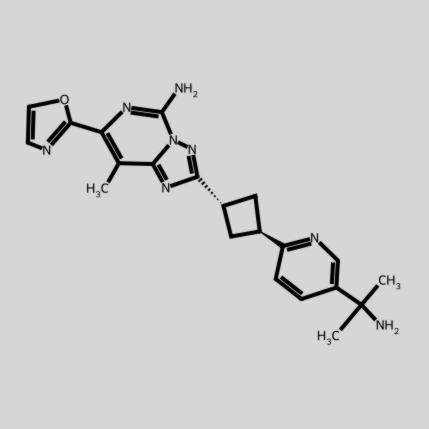 Cc1c(-c2ncco2)nc(N)n2nc([C@H]3C[C@H](c4ccc(C(C)(C)N)cn4)C3)nc12